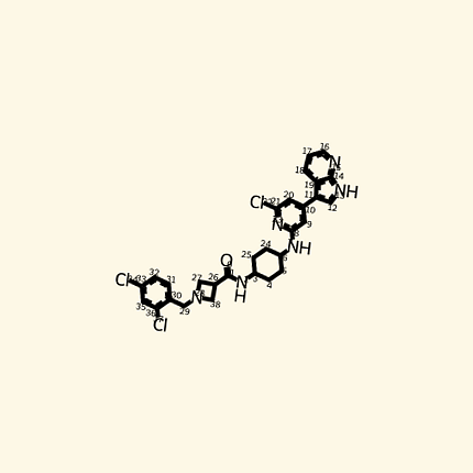 O=C(NC1CCC(Nc2cc(-c3c[nH]c4ncccc34)cc(Cl)n2)CC1)C1CN(Cc2ccc(Cl)cc2Cl)C1